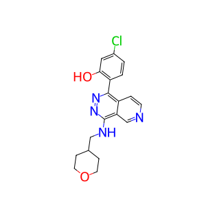 Oc1cc(Cl)ccc1-c1nnc(NCC2CCOCC2)c2cnccc12